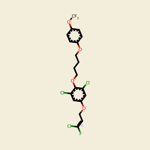 F/C(Cl)=C/COc1cc(Cl)c(OCCCCOc2ccc(OC(F)(F)F)cc2)c(Cl)c1